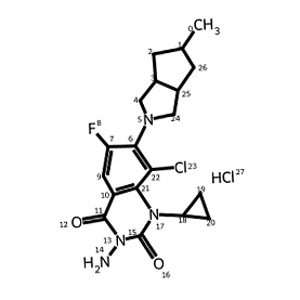 CC1CC2CN(c3c(F)cc4c(=O)n(N)c(=O)n(C5CC5)c4c3Cl)CC2C1.Cl